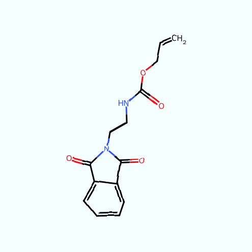 C=CCOC(=O)NCCN1C(=O)c2ccccc2C1=O